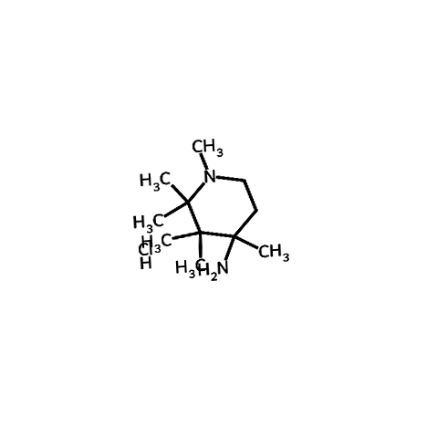 CN1CCC(C)(N)C(C)(C)C1(C)C.Cl